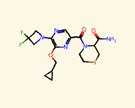 NC(=O)C1CSCCN1C(=O)c1cnc(N2CC(F)(F)C2)c(OCC2CC2)n1